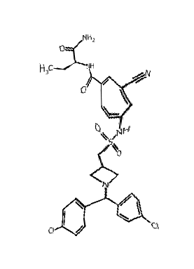 CC[C@H](NC(=O)c1cc(C#N)cc(NS(=O)(=O)CC2CN(C(c3ccc(Cl)cc3)c3ccc(Cl)cc3)C2)c1)C(N)=O